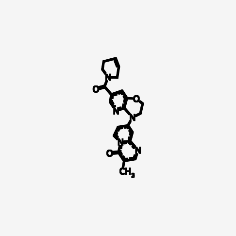 Cc1cnc2cc(N3CCOc4cc(C(=O)N5CC=CCC5)cnc43)ccn2c1=O